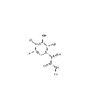 CC(C)(C)NC(=O)C(=N)c1cc(Cl)c(O)c(O)c1Cl